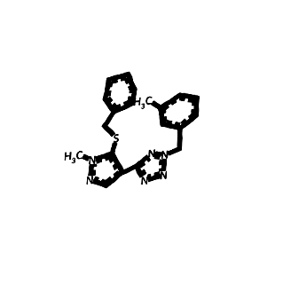 Cc1cccc(Cn2nnc(-c3cnn(C)c3SCc3ccccc3)n2)c1